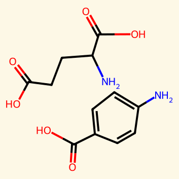 NC(CCC(=O)O)C(=O)O.Nc1ccc(C(=O)O)cc1